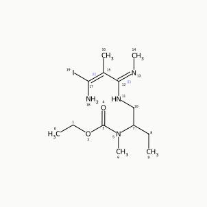 CCOC(=O)N(C)C(CC)CNC(=N/C)/C(C)=C(\N)I